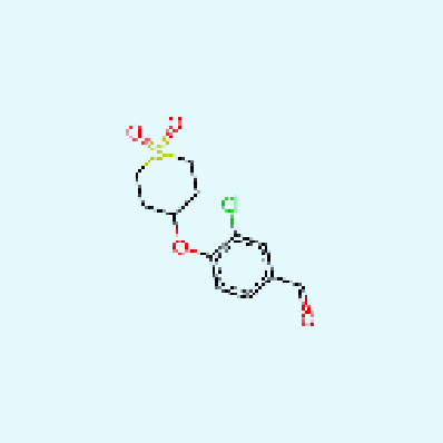 O=Cc1ccc(OC2CCS(=O)(=O)CC2)c(Cl)c1